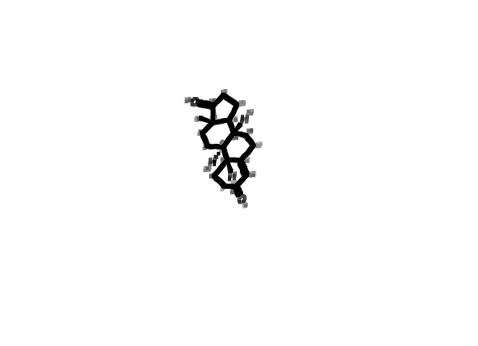 C[C@]12CC[C@@H]3[C@H]4CCC(=O)C=C4CC[C@H]3C1CCC2=O